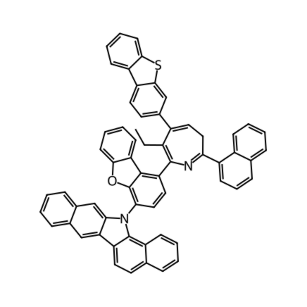 CCC1=C(c2ccc(-n3c4cc5ccccc5cc4c4ccc5ccccc5c43)c3oc4ccccc4c23)N=C(c2cccc3ccccc23)CC=C1c1ccc2c(c1)sc1ccccc12